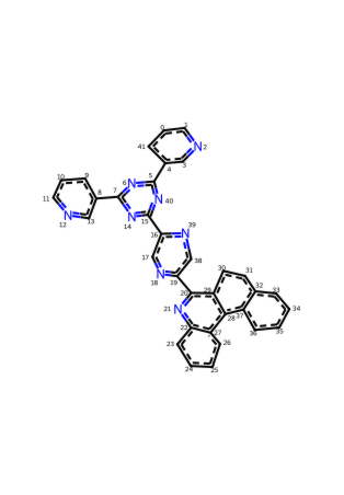 c1cncc(-c2nc(-c3cccnc3)nc(-c3cnc(-c4nc5ccccc5c5c4ccc4ccccc45)cn3)n2)c1